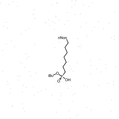 CCCCCCCCCCCCCCCCP(=O)(O)OC(C)CC